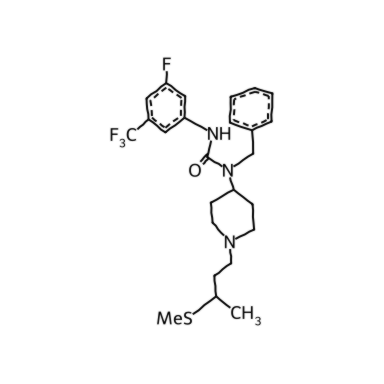 CSC(C)CCN1CCC(N(Cc2ccccc2)C(=O)Nc2cc(F)cc(C(F)(F)F)c2)CC1